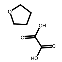 C1CCOC1.O=C(O)C(=O)O